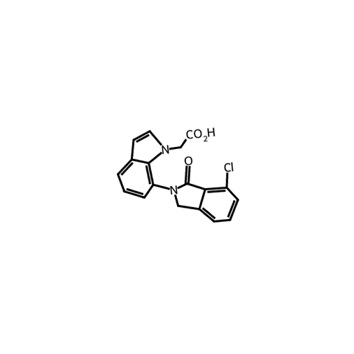 O=C(O)Cn1ccc2cccc(N3Cc4cccc(Cl)c4C3=O)c21